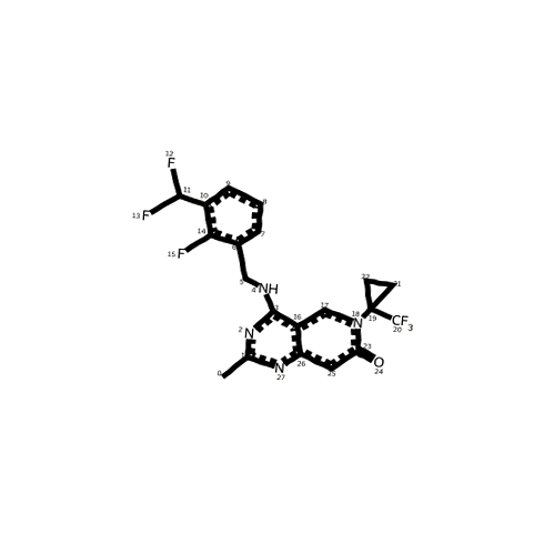 Cc1nc(NCc2cccc(C(F)F)c2F)c2cn(C3(C(F)(F)F)CC3)c(=O)cc2n1